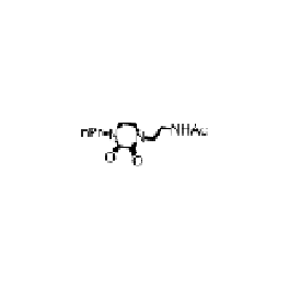 CCCN1CCN(CCNC(C)=O)C(=O)C1=O